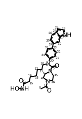 CC(=O)N1CCN(C(=O)N(CCCCCCC(=O)NO)c2ccc(-c3ccc4cc[nH]c4c3)cc2)CC1